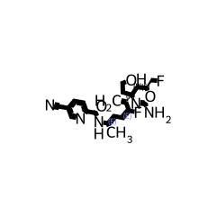 C=C(/C(F)=C\C=C(/C)NC(=O)c1ccc(C#N)cn1)[C@]12CCO[C@H]1[C@@H](CF)OC(N)=N2